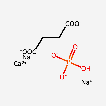 O=C([O-])CCC(=O)[O-].O=P([O-])([O-])O.[Ca+2].[Na+].[Na+]